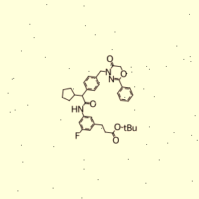 CC(C)(C)OC(=O)CCc1cc(F)cc(NC(=O)C(c2ccc(CN3N=C(c4ccccc4)OCC3=O)cc2)C2CCCC2)c1